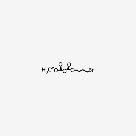 CCOC(=O)OC(=O)CCCCCBr